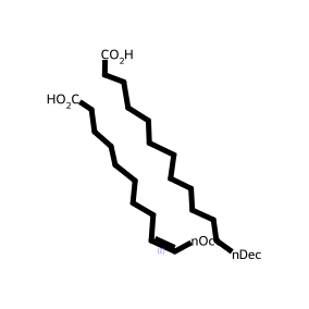 CCCCCCCC/C=C\CCCCCCCC(=O)O.CCCCCCCCCCCCCCCCCCCCCC(=O)O